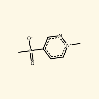 C[n+]1ccc(P(C)(=O)[O-])cn1